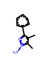 Cc1c(-c2ccccc2)nn(N)c1C